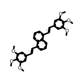 COc1cc(/C=C/c2cccc3c(/C=C/c4cc(OC)c(OC)c(OC)c4)cccc23)cc(OC)c1OC